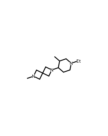 CCN1CCC(N2CC3(CN(C)C3)C2)C(C)C1